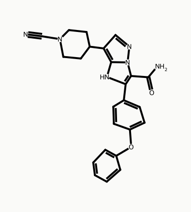 N#CN1CCC(c2cnn3c(C(N)=O)c(-c4ccc(Oc5ccccc5)cc4)[nH]c23)CC1